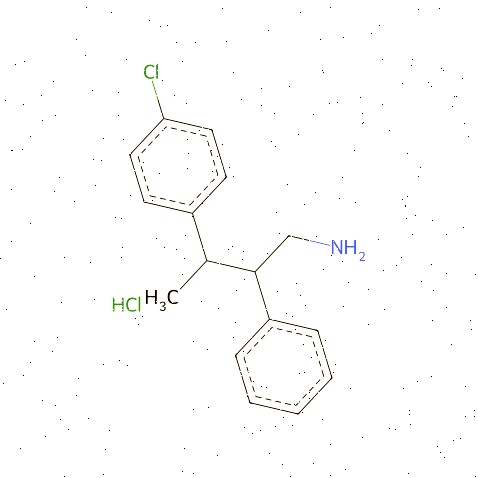 CC(c1ccc(Cl)cc1)C(CN)c1ccccc1.Cl